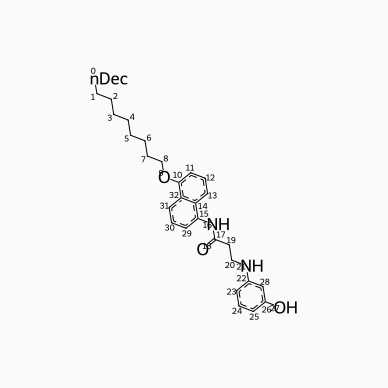 CCCCCCCCCCCCCCCCCCOc1cccc2c(NC(=O)CCNc3cccc(O)c3)cccc12